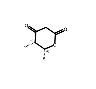 C[C@@H]1C(=O)CC(=O)O[C@@H]1C